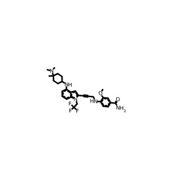 COc1cc(C(N)=O)ccc1NCC#Cc1cc2c(NC3CCC(C)(N(C)C)CC3)cccc2n1CC(F)(F)F